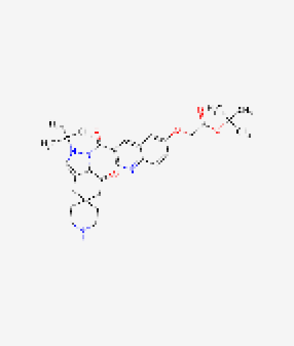 CC(C)(C)OC(=O)COc1ccc2ncc(C(=O)N3C4C(=O)CC5(CCNCC5)CC4=CN3C(C)(C)C)cc2c1